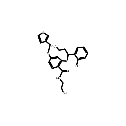 Cc1ccccc1C(CCC(=O)O)Oc1cc(OCc2ccsc2)ccc1C(=O)NCCO